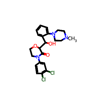 CN1CCN(c2ccccc2C(O)C2OCCN(c3ccc(Cl)c(Cl)c3)C2=O)CC1